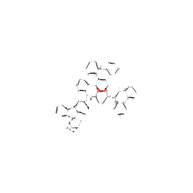 c1ccc(-c2ccccc2-c2ccccc2-c2ccccc2N(c2ccc(-c3cc4ccccc4c4ccccc34)cc2)c2ccc3c(c2)-c2ccccc2C32CC3CCC2C3)cc1